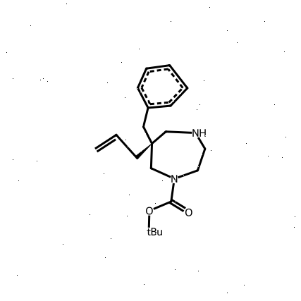 C=CC[C@@]1(Cc2ccccc2)CNCCN(C(=O)OC(C)(C)C)C1